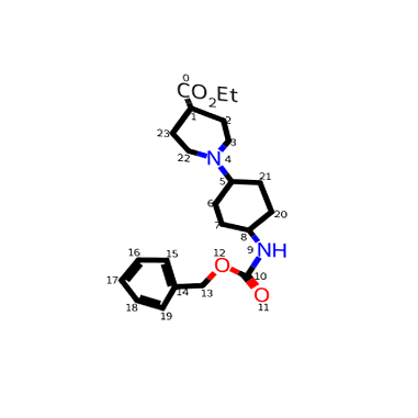 CCOC(=O)C1CCN(C2CCC(NC(=O)OCc3ccccc3)CC2)CC1